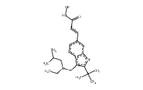 CCN(Cc1c(C(C)(C)C)nc2cc(/C=C/C(=O)NO)ccn12)CC(C)C